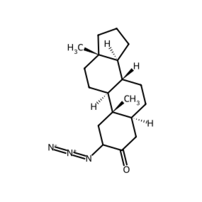 C[C@@]12CCC[C@H]1[C@@H]1CC[C@H]3CC(=O)C(N=[N+]=[N-])C[C@]3(C)[C@H]1CC2